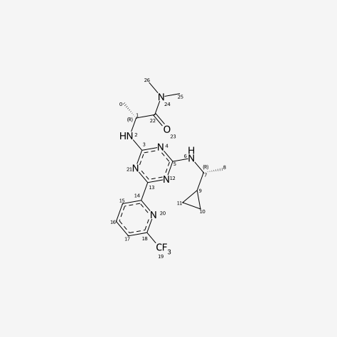 C[C@@H](Nc1nc(N[C@H](C)C2CC2)nc(-c2cccc(C(F)(F)F)n2)n1)C(=O)N(C)C